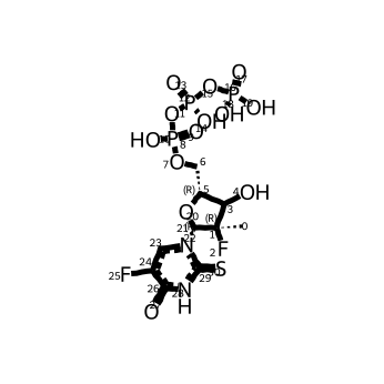 C[C@@]1(F)C(O)[C@@H](COP(=O)(O)OP(=O)(O)OP(=O)(O)O)O[C@H]1n1cc(F)c(=O)[nH]c1=S